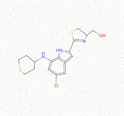 OCC1CSC(c2cc3cc(Cl)cc(NC4CCSCC4)c3[nH]2)=N1